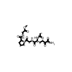 COC(=O)CNC(=O)C1CCCN1C(=O)CNC(=O)[C@H](CCC(=O)C(N)=O)NC(C)=O